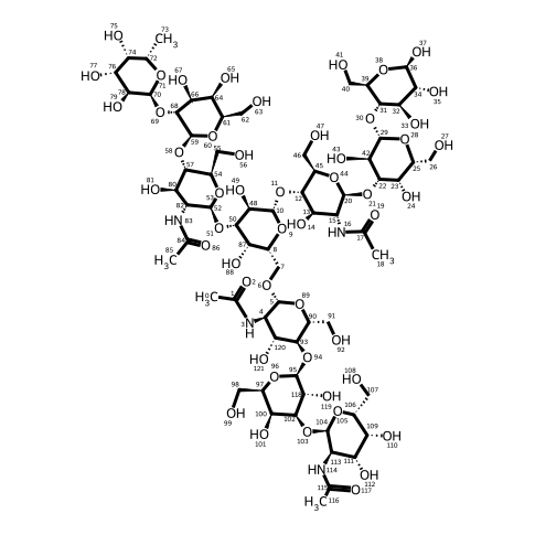 CC(=O)N[C@H]1[C@H](OC[C@H]2O[C@@H](O[C@H]3[C@H](O)[C@@H](NC(C)=O)[C@H](O[C@H]4[C@@H](O)[C@@H](CO)O[C@@H](O[C@H]5[C@H](O)[C@@H](O)[C@H](O)O[C@@H]5CO)[C@@H]4O)O[C@@H]3CO)[C@H](O)[C@@H](O[C@@H]3O[C@H](CO)[C@@H](O[C@@H]4O[C@H](CO)[C@H](O)[C@H](O)[C@H]4O[C@@H]4O[C@@H](C)[C@@H](O)[C@@H](O)[C@@H]4O)[C@H](O)[C@H]3NC(C)=O)[C@H]2O)O[C@H](CO)[C@@H](O[C@@H]2O[C@H](CO)[C@H](O)[C@H](O[C@H]3O[C@H](CO)[C@H](O)[C@H](O)[C@H]3NC(C)=O)[C@H]2O)[C@@H]1O